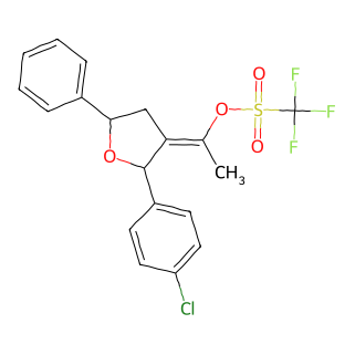 CC(OS(=O)(=O)C(F)(F)F)=C1CC(c2ccccc2)OC1c1ccc(Cl)cc1